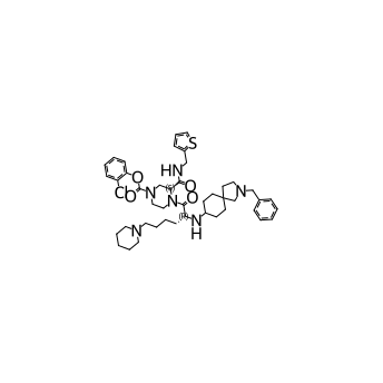 O=C(NCc1cccs1)[C@@H]1CN(C(=O)Oc2ccccc2Cl)CCN1C(=O)[C@@H](CCCCN1CCCCC1)NC1CCC2(CC1)CCN(Cc1ccccc1)C2